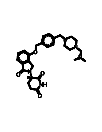 CN(C)CN1CCN(Cc2ccc(COc3cccc4c3CN([C@@H]3CCC(=O)NC3=O)C4=O)cc2)CC1